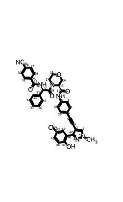 Cn1cc(C#Cc2ccc(NC(=O)[C@@H]3COCCN3C(=O)[C@H](NC(=O)c3ccc(C#N)cc3)c3ccccc3)cc2)c(-c2cc(Cl)ccc2O)n1